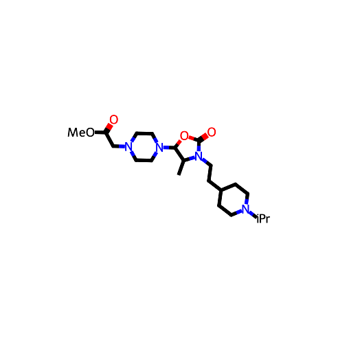 COC(=O)CN1CCN(C2OC(=O)N(CCC3CCN(C(C)C)CC3)C2C)CC1